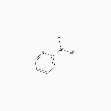 [CH2]CC[S+]([O-])c1ccccn1